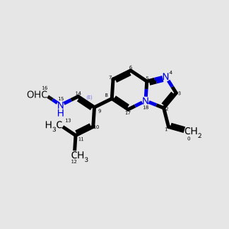 C=Cc1cnc2ccc(/C(C=C(C)C)=C/NC=O)cn12